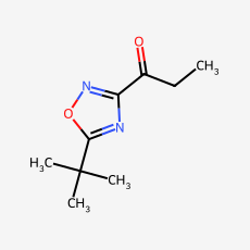 CCC(=O)c1noc(C(C)(C)C)n1